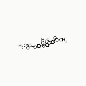 C=COC(=O)c1ccc2c(c1)C(C)c1cc(OC(=O)c3ccc(OCCOC(=O)C=C)cc3)ccc1-2